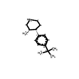 C[C@@H]1CNCC[C@@H]1c1ccc(C(C)(C)C)cc1